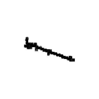 O=[C]CCC(NC(=O)CCC(=O)NCCOCCOCCNC(=O)CCCCCCCCCCCCCCC(=O)O)C(=O)O